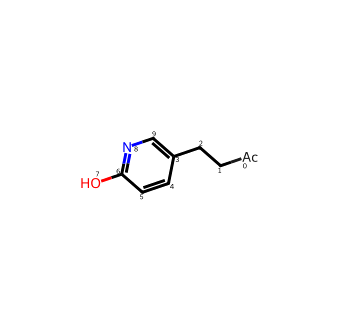 CC(=O)CCc1ccc(O)nc1